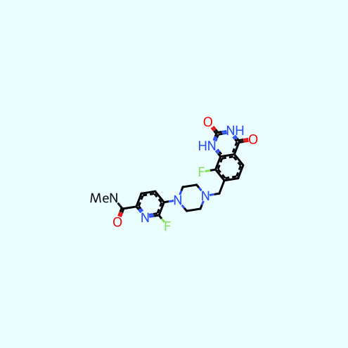 CNC(=O)c1ccc(N2CCN(Cc3ccc4c(=O)[nH]c(=O)[nH]c4c3F)CC2)c(F)n1